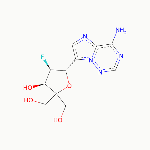 Nc1ncnn2c([C@@H]3OC(CO)(CO)[C@@H](O)[C@H]3F)cnc12